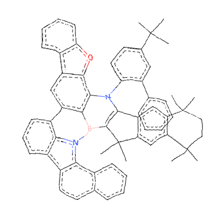 CC(C)(C)c1ccc(N2C3=C(B4c5c(cc6c(oc7ccccc76)c52)-c2cccc5c6ccc7ccccc7c6n4c25)C(C)(C)c2cc4c(cc23)C(C)(C)CCC4(C)C)c(-c2ccccc2)c1